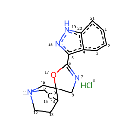 Cl.c1ccc2c(C3=NCC4(CN5CCC4CC5)O3)n[nH]c2c1